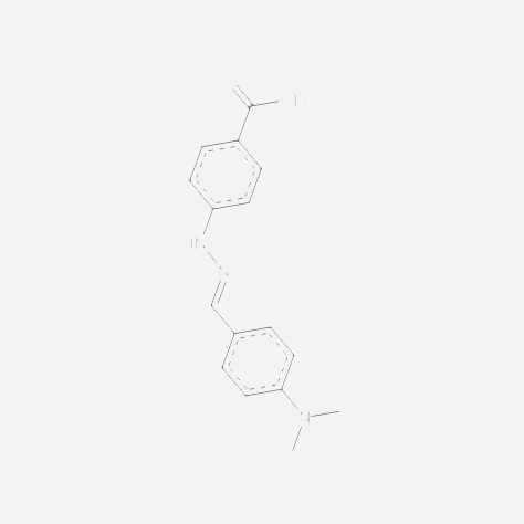 CN(C)c1ccc(C=NNc2ccc(C(=O)O)cc2)cc1